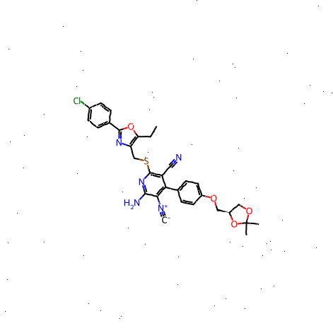 [C-]#[N+]c1c(N)nc(SCc2nc(-c3ccc(Cl)cc3)oc2CC)c(C#N)c1-c1ccc(OC[C@H]2COC(C)(C)O2)cc1